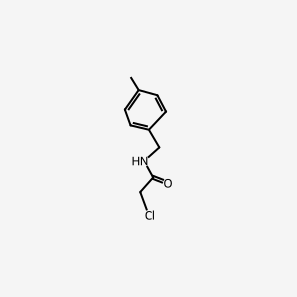 Cc1ccc(CNC(=O)CCl)cc1